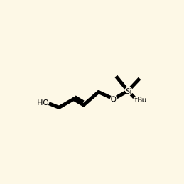 CC(C)(C)[Si](C)(C)OCC=CCO